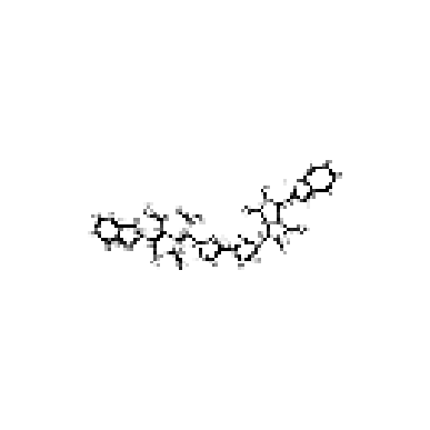 CN1C(=O)C2=C(c3cc4ccccc4s3)N(C)C(=O)C2=C1c1ccc(-c2ccc(/C(=C3\C(=O)N(C)C(c4cc5ccccc5s4)=C3C=O)N(C)C)s2)s1